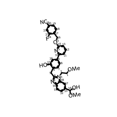 COCCn1c(Cc2ccc(-c3cccc(OCc4ccc(C#N)cc4F)n3)cc2O)nc2ccc(C(O)OC)cc21